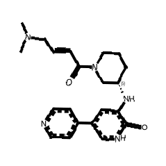 CN(C)CC=CC(=O)N1CCC[C@H](Nc2cc(-c3ccncc3)c[nH]c2=O)C1